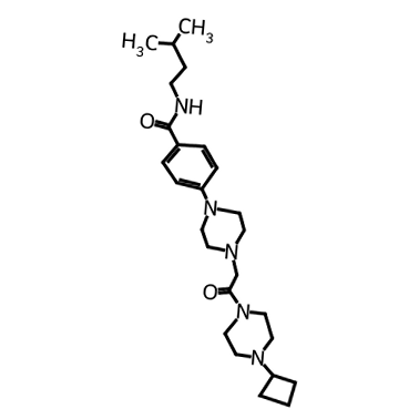 CC(C)CCNC(=O)c1ccc(N2CCN(CC(=O)N3CCN(C4CCC4)CC3)CC2)cc1